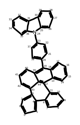 c1ccc2c(c1)-c1ccccc1-c1c3ccccc3c(-c3ccc(-n4c5ccccc5c5ccccc54)cc3)c3cccc-2c13